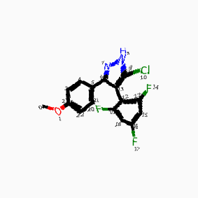 COc1ccc(-c2n[nH]c(Cl)c2-c2c(F)cc(F)cc2F)cc1